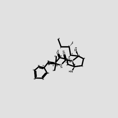 CC[C@H](C)[C@@H]1[C@@H]2CC[C@H](CN1C(=O)OCc1ccccc1)N2C(=O)OC(C)(C)C